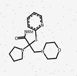 CNC(=O)C(CN1CCOCC1)(Sc1ccccn1)N1CCCC1